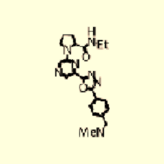 CCNC(=O)[C@@H]1CCCN1c1cncc(-c2nnc(-c3ccc(CNC)cc3)o2)n1